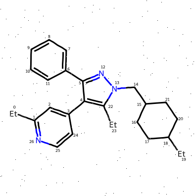 CCc1cc(-c2c(-c3ccccc3)nn(CC3CCC(CC)CC3)c2CC)ccn1